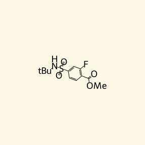 COC(=O)c1ccc(S(=O)(=O)NC(C)(C)C)cc1F